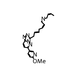 C/C=C\C/N=C\C=C/C/C=C/Cc1nnc2ccc(-c3ccc(OC)nc3)nn12